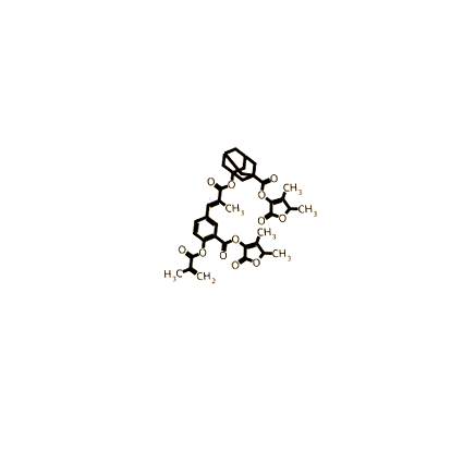 C=C(C)C(=O)Oc1ccc(/C=C(\C)C(=O)OC23CC4CC(C2)CC(C(=O)OC2=C(C)C(C)OC2=O)(C4)C3)cc1C(=O)OC1=C(C)C(C)OC1=O